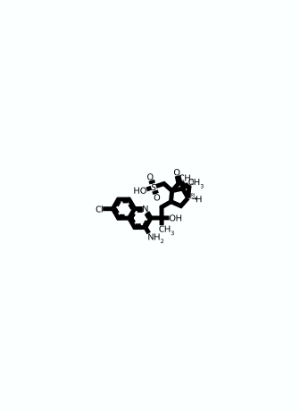 CC(O)(CC1C[C@@H]2CC(=O)C1(CS(=O)(=O)O)C2(C)C)c1nc2ccc(Cl)cc2cc1N